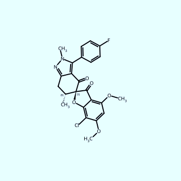 COc1cc(OC)c2c(c1Cl)O[C@]1(C2=O)C(=O)c2c(nn(C)c2-c2ccc(F)cc2)C[C@H]1C